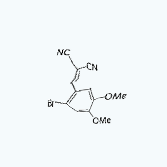 COc1cc(Br)c(C=C(C#N)C#N)cc1OC